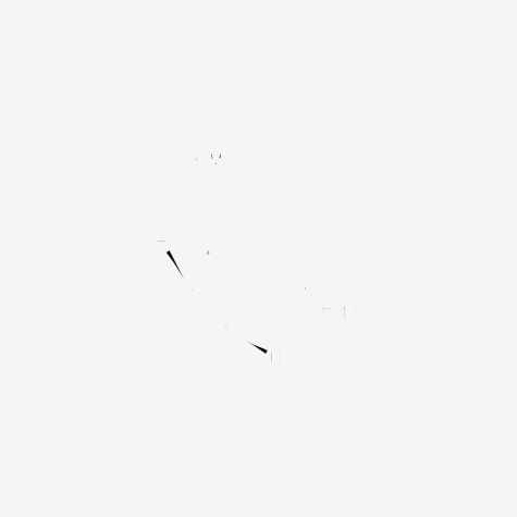 CCCCCCCO[C@@H]1[C@@H]2CC[C@@H](C2)[C@@H]1/C=C/OC